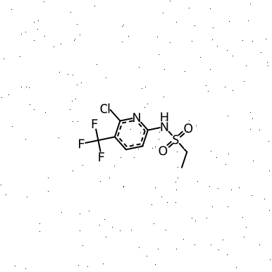 CCS(=O)(=O)Nc1ccc(C(F)(F)F)c(Cl)n1